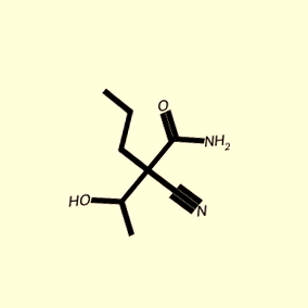 CCCC(C#N)(C(N)=O)C(C)O